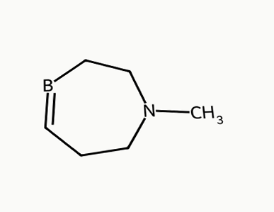 CN1CCB=CCC1